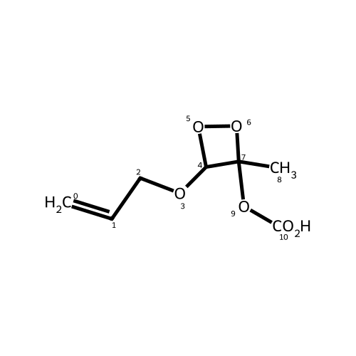 C=CCOC1OOC1(C)OC(=O)O